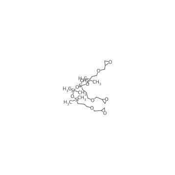 C[Si](C)(CCCOCC1CO1)O[Si](C)(C)O[Si](C)(CCCOCC1CO1)O[Si](C)(C)CCOCC1CO1